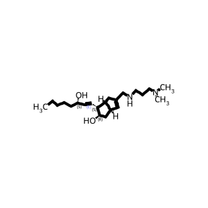 CCCCC[C@H](O)/C=C/[C@@H]1[C@H]2CC(CNCCCN(C)C)=C[C@H]2C[C@H]1O